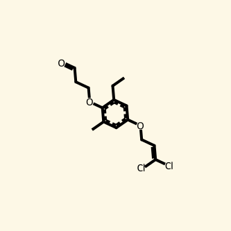 CCc1cc(OCC=C(Cl)Cl)cc(C)c1OCCC=O